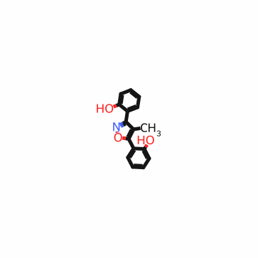 Cc1c(-c2ccccc2O)noc1-c1ccccc1O